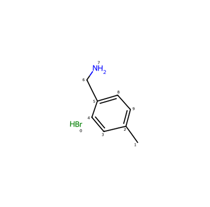 Br.Cc1ccc(CN)cc1